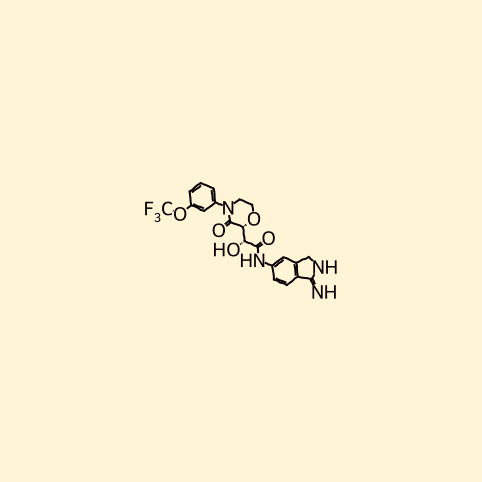 N=C1NCc2cc(NC(=O)[C@H](O)[C@H]3OCCN(c4cccc(OC(F)(F)F)c4)C3=O)ccc21